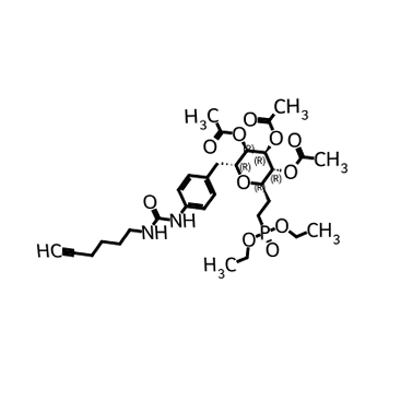 C#CCCCCNC(=O)Nc1ccc(C[C@H]2O[C@H](CCP(=O)(OCC)OCC)[C@@H](OC(C)=O)[C@H](OC(C)=O)[C@@H]2OC(C)=O)cc1